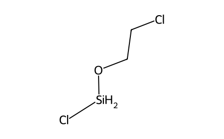 ClCCO[SiH2]Cl